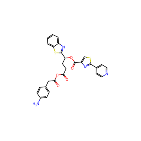 Nc1ccc(CC(=O)OC(=O)CCC(OC(=O)c2csc(-c3ccncc3)n2)c2nc3ccccc3s2)cc1